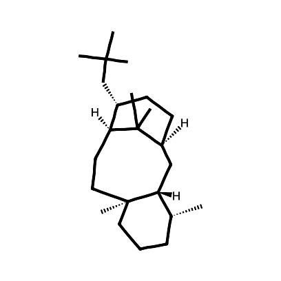 C[C@@H]1CCC[C@@]2(C)CC[C@H]3[C@H](CC(C)(C)C)CC[C@@H](C[C@H]12)C3(C)C